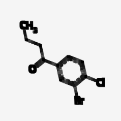 CCCC(=O)c1ccc(Cl)c(Br)c1